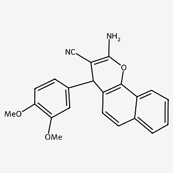 COc1ccc(C2C(C#N)=C(N)Oc3c2ccc2ccccc32)cc1OC